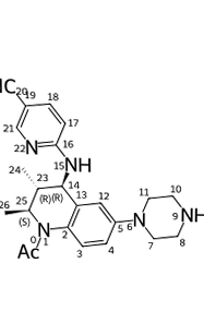 CC(=O)N1c2ccc(N3CCNCC3)cc2[C@H](Nc2ccc(C#N)cn2)[C@@H](C)[C@@H]1C